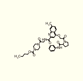 CCCCOC(=O)N1CCN(C(=O)CNC(=O)c2cc(OCC(=O)N3CCCC3C(=O)Nc3ccccc3)c3ccc(C)cc3n2)CC1